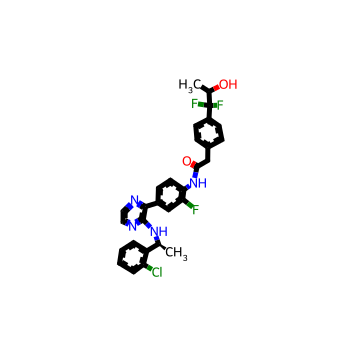 CC(O)C(F)(F)c1ccc(CC(=O)Nc2ccc(-c3nccnc3N[C@@H](C)c3ccccc3Cl)cc2F)cc1